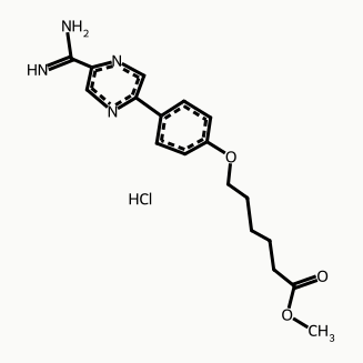 COC(=O)CCCCCOc1ccc(-c2cnc(C(=N)N)cn2)cc1.Cl